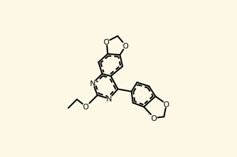 CCOc1nc(-c2ccc3c(c2)OCO3)c2cc3c(cc2n1)OCO3